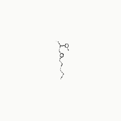 [CH2]C(COCCCCC)OC